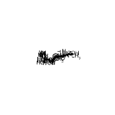 CC(C)(O)CC(=O)SCCNC(=O)CCNC(=O)[C@H](O)C(C)(C)COP(=O)(O)OP(=O)(O)OC[C@H]1O[C@@H](n2cnc3c(N)ncnc32)[C@H](O)[C@@H]1OP(=O)(O)O